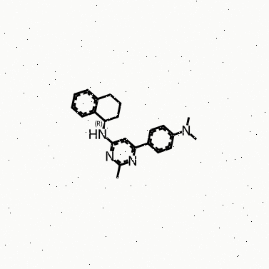 Cc1nc(N[C@@H]2CCCc3ccccc32)cc(-c2ccc(N(C)C)cc2)n1